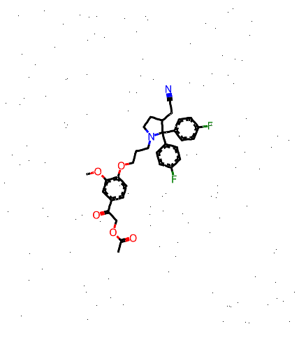 COc1cc(C(=O)COC(C)=O)ccc1OCCCN1CCC(CC#N)C1(c1ccc(F)cc1)c1ccc(F)cc1